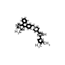 Cc1ccc(-c2nc(C3CCN(Cc4ccc(-c5nc(C)n6cnnc6c5-c5ccccc5)cc4)CC3)n[nH]2)nc1C